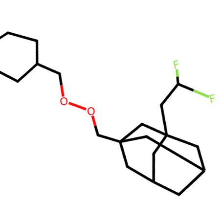 FC(F)CC12CC3CC(CC(COOCC4CCCCC4)(C3)C1)C2